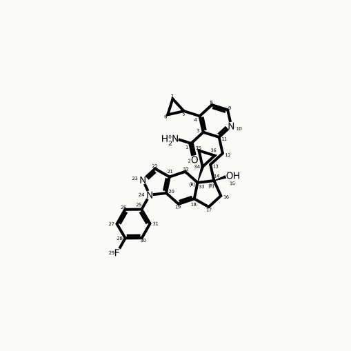 NC(=O)c1c(C2CC2)ccnc1CC[C@]1(O)CCC2=Cc3c(cnn3-c3ccc(F)cc3)C[C@@]21C1CC1